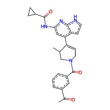 CC(=O)c1cccc(C(=O)N2CC=C(c3cc(NC(=O)C4CC4)nc4[nH]ccc34)C(C)C2)c1